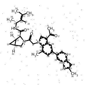 CC(=O)c1cn(CC(=O)N2C[C@H]3C[C@H]3[C@H]2C(=O)N[C@H](C)C(F)=C(C)C)c2c(C)cc(-c3cnc4cc(C)nn4c3)cc12